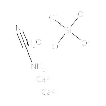 N#CN.O.[Ca+2].[Ca+2].[O-][Si]([O-])([O-])[O-]